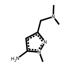 CN(C)Cc1cc(N)n(C)n1